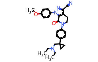 CCN(CC)CC1(c2ccc(N3CCc4c(C#N)nn(-c5ccc(OC)cc5)c4C3=O)cc2)CC1